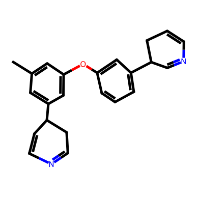 Cc1cc(Oc2cccc(C3C=NC=CC3)c2)cc(C2C=CN=CC2)c1